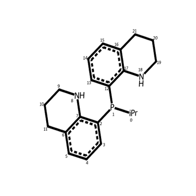 CC(C)P(c1cccc2c1NCCC2)c1cccc2c1NCCC2